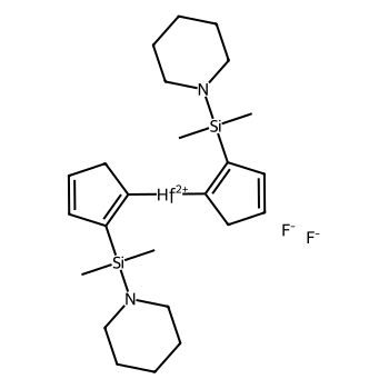 C[Si](C)(C1=[C]([Hf+2][C]2=C([Si](C)(C)N3CCCCC3)C=CC2)CC=C1)N1CCCCC1.[F-].[F-]